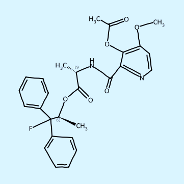 COc1ccnc(C(=O)N[C@@H](C)C(=O)O[C@@H](C)C(F)(c2ccccc2)c2ccccc2)c1OC(C)=O